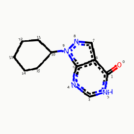 O=c1[nH]cnc2c1cnn2C1CCCCC1